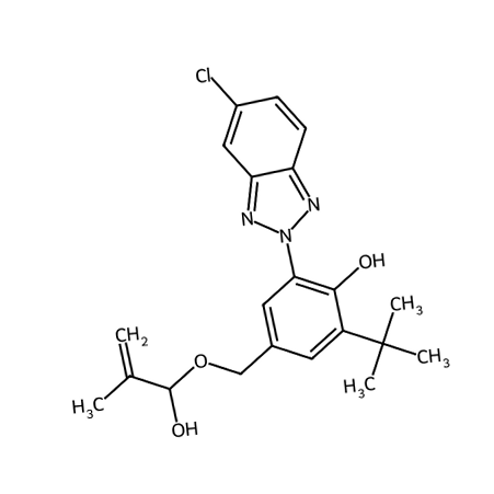 C=C(C)C(O)OCc1cc(-n2nc3ccc(Cl)cc3n2)c(O)c(C(C)(C)C)c1